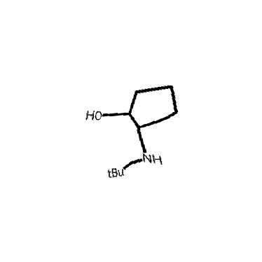 CC(C)(C)NC1CCCC1O